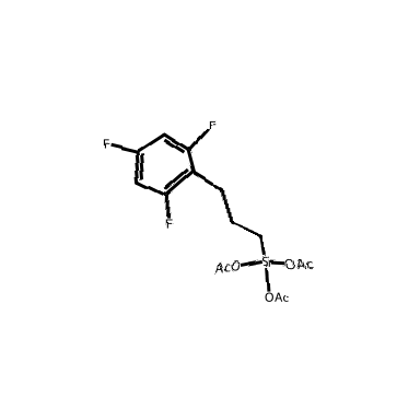 CC(=O)O[Si](CCCc1c(F)cc(F)cc1F)(OC(C)=O)OC(C)=O